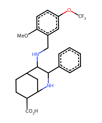 COc1ccc(OC(F)(F)F)cc1CNC1C2CCC(C(=O)O)C(C2)NC1c1ccccc1